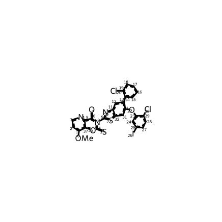 COc1ccnc2c(=O)n(-c3nc4cc(-c5ccccc5Cl)c(Oc5cc(I)ccc5Cl)cc4s3)c(=S)oc12